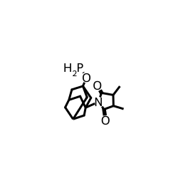 CC1C(=O)N(C23CC4CC(CC(OP)(C4)C2)C3)C(=O)C1C